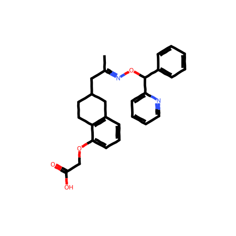 CC(CC1CCc2c(cccc2OCC(=O)O)C1)=NOC(c1ccccc1)c1ccccn1